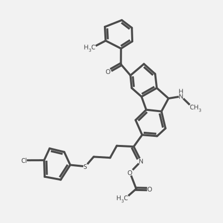 CNC1c2ccc(C(=O)c3ccccc3C)cc2-c2cc(/C(CCCSc3ccc(Cl)cc3)=N/OC(C)=O)ccc21